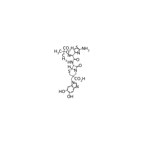 CC(C)(ON=C(C(=O)NC1C(=O)N2CC(Cn3cnc4cc(O)c(O)cc43)(C(=O)O)CS[C@H]12)c1csc(N)n1)C(=O)O